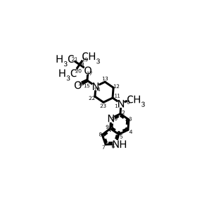 CN(c1ccc2[nH]ccc2n1)C1CCN(C(=O)OC(C)(C)C)CC1